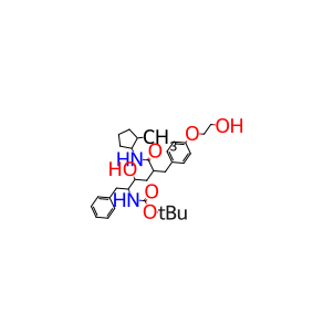 CC1CCCC1NC(=O)C(Cc1ccc(OCCO)cc1)CC(O)C(Cc1ccccc1)NC(=O)OC(C)(C)C